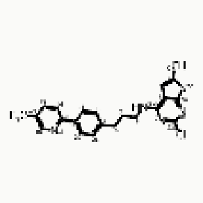 Cc1cc2c(NCCCc3ccc(-c4ccc(C(F)(F)F)cn4)cc3)nc(Cl)nc2s1